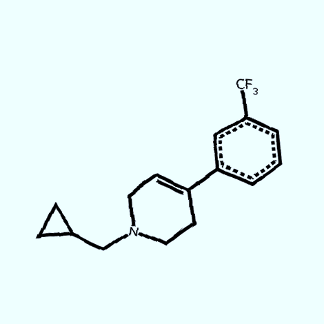 FC(F)(F)c1cccc(C2=CCN(CC3CC3)CC2)c1